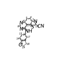 N#Cc1nc2ccc3ncnc(Nc4ccc5c(c4)CCO5)c3c2s1